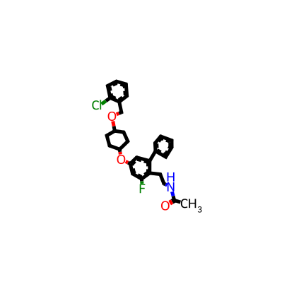 CC(=O)NCCc1c(F)cc(OC2CCC(OCc3ccccc3Cl)CC2)cc1-c1ccccc1